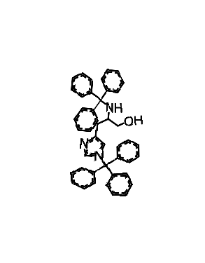 OCC(Cc1cn(C(c2ccccc2)(c2ccccc2)c2ccccc2)cn1)NC(c1ccccc1)(c1ccccc1)c1ccccc1